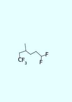 CC(CCC(F)F)CC(F)(F)F